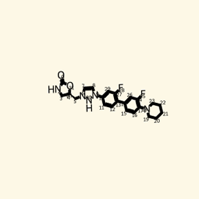 O=C1NC[C@H](CN2C=CN(c3ccc(-c4ccc(N5CCCCC5)c(F)c4)c(F)c3)N2)O1